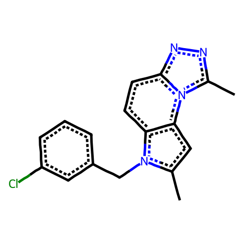 Cc1cc2c(ccc3nnc(C)n32)n1Cc1cccc(Cl)c1